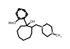 COc1ccccc1C1(O)CCCCCCC1CN1CCN(C)CC1